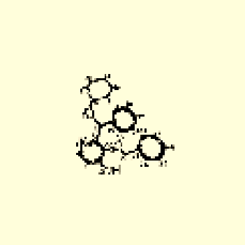 Oc1ccnc(C(OC2CCCCO2)c2ccccc2)c1OCc1ccccc1